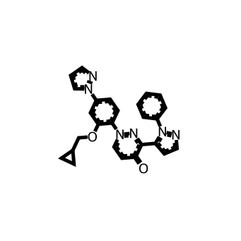 O=c1ccn(-c2ccc(-n3cccn3)cc2OCC2CC2)nc1-c1ccnn1-c1ccccc1